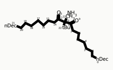 CCCCCCCCCCCCCCCCCC(=O)C(C)(C(=O)CCCCCCCCCCCCCCCCC)C(C)(C)C.N